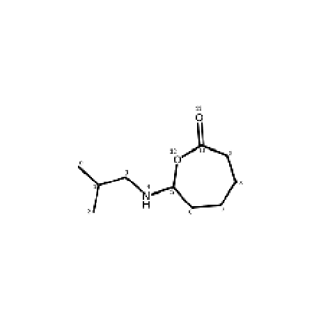 CC(C)CNC1CCCCC(=O)O1